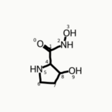 O=C(NO)C1NCCC1O